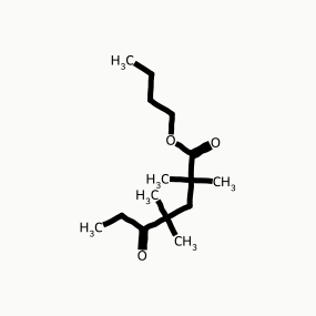 CCCCOC(=O)C(C)(C)CC(C)(C)C(=O)CC